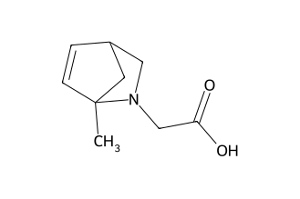 CC12C=CC(CN1CC(=O)O)C2